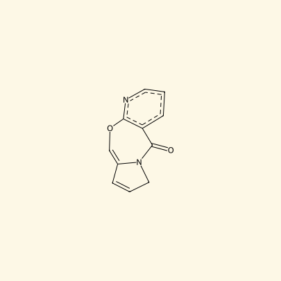 O=C1c2cccnc2OC=C2C=CCN12